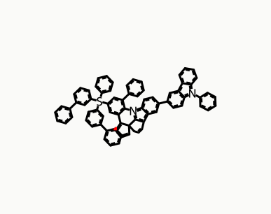 C1=CC23CC=Cc4c2n(c2ccc(-c5ccc6c(c5)c5ccccc5n6-c5ccccc5)cc42)-c2c(cc(S(c4ccccc4)(c4cccc(-c5ccccc5)c4)c4cccc(-c5ccccc5)c4)cc2-c2ccccc2)C3=C1